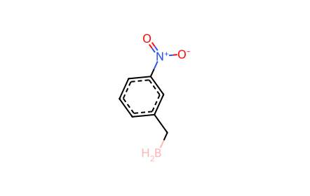 BCc1cccc([N+](=O)[O-])c1